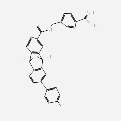 N=C(N)c1ccc(CNC(=O)c2ccc3c(c2)[C@@H]2O[C@H]3c3ccc(-c4ccc(F)cc4)cc32)cc1